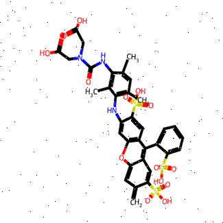 C=c1cc2c(cc1S(=O)(=O)O)=C(c1ccccc1S(=O)(=O)O)c1cc(S(=O)(=O)O)c(Nc3c(C)cc(C)c(NC(=O)N(CC(=O)O)CC(=O)O)c3C)cc1O2